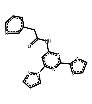 O=C(Cc1cccnc1)Nc1cc(-n2cccn2)nc(-c2nccs2)n1